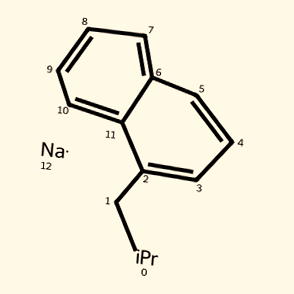 CC(C)Cc1cccc2ccccc12.[Na]